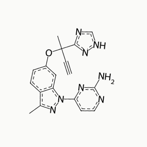 C#CC(C)(Oc1ccc2c(C)nn(-c3ccnc(N)n3)c2c1)c1nc[nH]n1